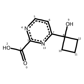 O=C(O)c1nccc(C2(O)CCC2)n1